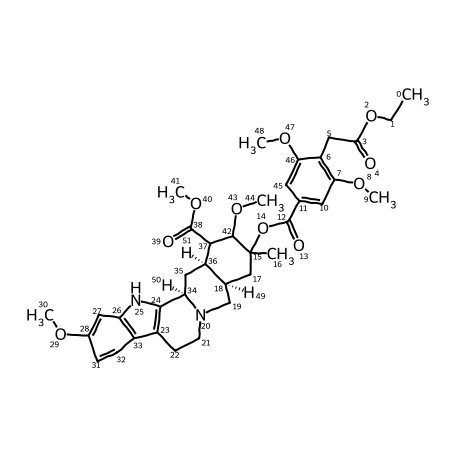 CCOC(=O)Cc1c(OC)cc(C(=O)OC2(C)C[C@H]3CN4CCc5c([nH]c6cc(OC)ccc56)[C@H]4C[C@H]3C(C(=O)OC)C2OC)cc1OC